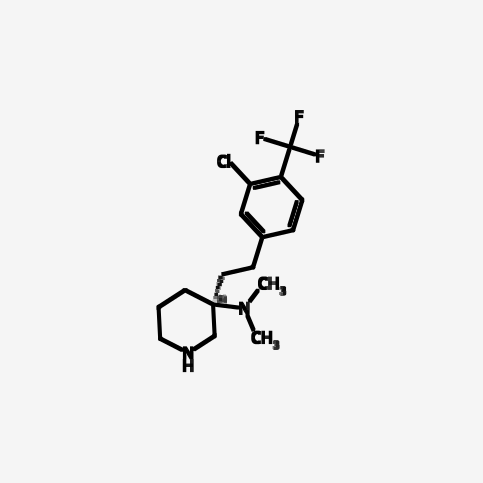 CN(C)[C@]1(CCc2ccc(C(F)(F)F)c(Cl)c2)CCCNC1